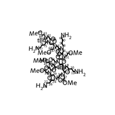 COCCN(CC(=O)N(CCCCN)CC(=O)N(CCOC)CC(=O)N(CCCCN)CC(=O)N(CCOC)CC(=O)N(CCOC)CC(=O)C(C)(C)C)C(=O)CN(CCOC)C(=O)CN(CCCCN)C(=O)CN(CCOC)C(=O)CN(CCCCN)C(=O)CN(CCOC)C(C)(C)C